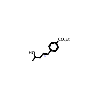 CCOC(=O)c1ccc(/C=C/CC(C)O)cc1